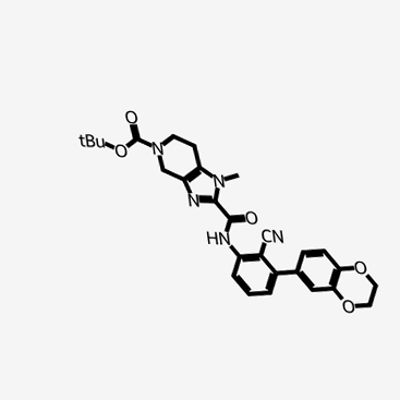 Cn1c(C(=O)Nc2cccc(-c3ccc4c(c3)OCCO4)c2C#N)nc2c1CCN(C(=O)OC(C)(C)C)C2